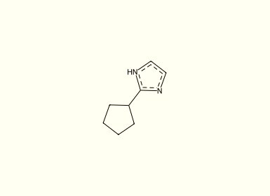 c1c[nH]c(C2CCCC2)n1